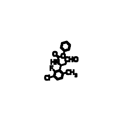 Cc1ccc(Cl)c(F)c1C(CC=O)NC(=O)Oc1ccccc1